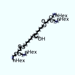 CCCCCC/C=C\COC(CCC(=O)OCCCCCCCN(CCO)CCCCCCCOC(=O)CCC(OC/C=C\CCCCCC)OC/C=C\CCCCCC)OC/C=C\CCCCCC